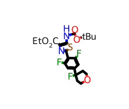 CCOC(=O)c1nc(-c2c(F)cc(C3(F)CCOCC3)cc2F)sc1NC(=O)OC(C)(C)C